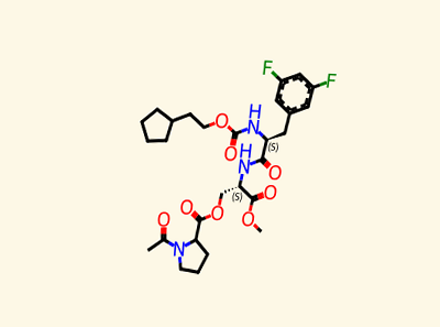 COC(=O)[C@H](COC(=O)C1CCCN1C(C)=O)NC(=O)[C@H](Cc1cc(F)cc(F)c1)NC(=O)OCCC1CCCC1